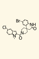 Cn1c(C(=O)N2CCC3(CC2)CC(=O)Nc2ccc(Br)cc23)cc2cc(Cl)ccc21